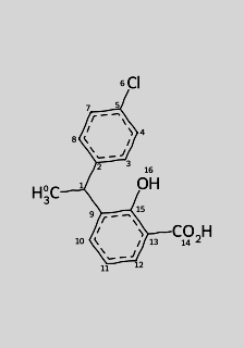 CC(c1ccc(Cl)cc1)c1cccc(C(=O)O)c1O